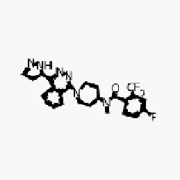 CN(C(=O)c1ccc(F)cc1C(F)(F)F)C1CCN(c2nnc(C3CC=NN3)c3ccccc23)CC1